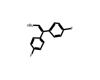 CCCCC=C(c1ccc(F)cc1)c1ccc(F)cc1